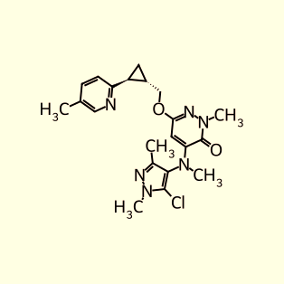 Cc1ccc([C@H]2C[C@@H]2COc2cc(N(C)c3c(C)nn(C)c3Cl)c(=O)n(C)n2)nc1